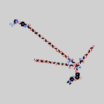 CCN(CC)c1ccc2nc3c4cc(OCC(=O)NC(COCCC(=O)NCCOCCOCCOCCOC)(COCCC(=O)NCCOCCOCCOCCOCCOCCOCCOCCOC)COCCC(=O)NCCOCCOCCOCCOCCOCCOCCOCCOCCOCCOCCOCCOCCC(=O)NCc5ccc(COc6nccc(N)n6)cc5)ccc4c(=O)cc-3oc2c1